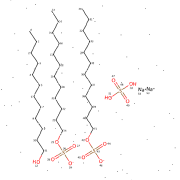 CCCCCCCCCCCCO.CCCCCCCCCCCCOS(=O)(=O)[O-].CCCCCCCCCCCCOS(=O)(=O)[O-].O=S(=O)(O)O.[Na+].[Na+]